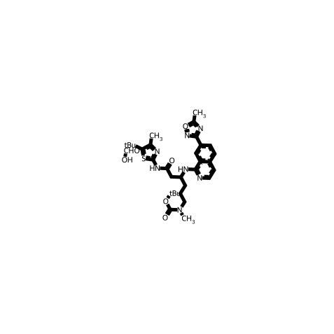 Cc1nc(-c2ccc3ccnc(NC(CCCN(C)C(=O)OC(C)(C)C)CC(=O)Nc4nc(C)c(C(C)(C)C)s4)c3c2)no1.O=CO